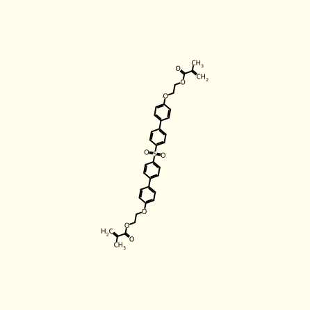 C=C(C)C(=O)OCCOc1ccc(-c2ccc(S(=O)(=O)c3ccc(-c4ccc(OCCOC(=O)C(=C)C)cc4)cc3)cc2)cc1